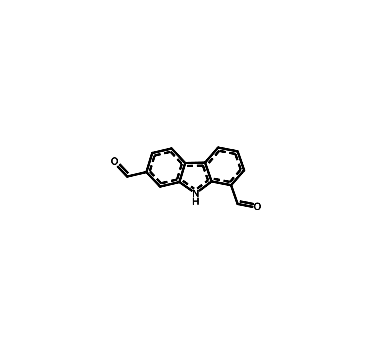 O=Cc1ccc2c(c1)[nH]c1c(C=O)cccc12